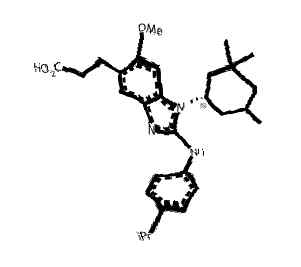 COc1cc2c(cc1CCC(=O)O)nc(Nc1ccc(C(C)C)cc1)n2[C@H]1CC(C)CC(C)(C)C1